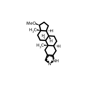 CO[C@H]1CC[C@H]2[C@@H]3CC[C@H]4Cc5[nH]ncc5C[C@]4(C)[C@H]3CC[C@]12C